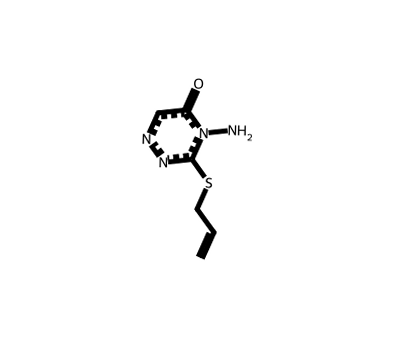 C=CCSc1nncc(=O)n1N